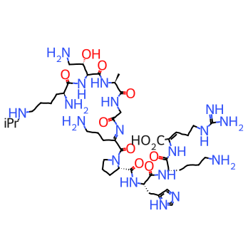 CC(C)NCCCC[C@H](N)C(=O)N[C@H](C(=O)N[C@@H](C)C(=O)NCC(=O)/N=C(\CCCN)C(=O)N1CCC[C@H]1C(=O)N[C@@H](Cc1cnc[nH]1)C(=O)N[C@@H](CCCCN)C(=O)N/C(=C\CCNC(=N)N)C(=O)O)[C@@H](O)CN